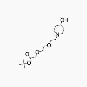 CC(C)(C)OC(=O)COCCOCCN1CCC(O)CC1